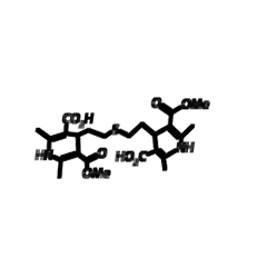 COC(=O)C1=C(C)NC(C)=C(C(=O)O)C1CCSCCC1C(C(=O)O)=C(C)NC(C)=C1C(=O)OC